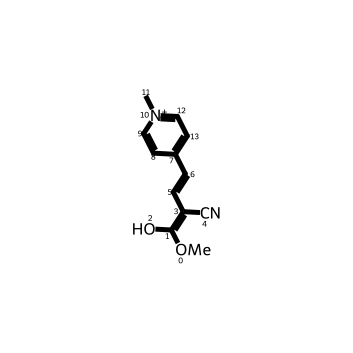 CO/C(O)=C(\C#N)C=Cc1cc[n+](C)cc1